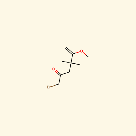 C=C(OC)C(C)(C)CC(=O)CBr